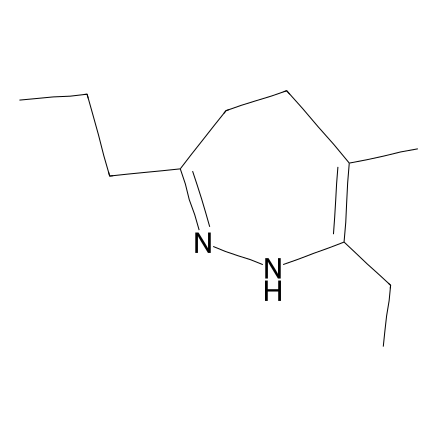 CCCC1=NNC(CC)=C(C)CC1